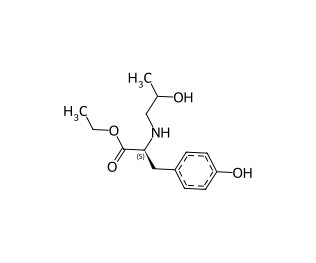 CCOC(=O)[C@H](Cc1ccc(O)cc1)NCC(C)O